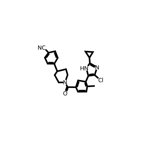 Cc1ccc(C(=O)N2CCC(c3ccc(C#N)cc3)CC2)cc1-c1[nH]c(C2CC2)nc1Cl